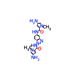 Cn1cc(N)cc1C(=O)Nc1ccc2c(c1)ncn2NC(=O)c1cc(N)cn1C